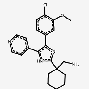 COc1cc(-c2nc(C3(CN)CCCCC3)[nH]c2-c2ccncc2)ccc1Cl